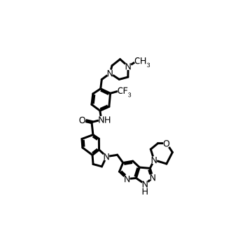 CN1CCN(Cc2ccc(NC(=O)c3ccc4c(c3)N(Cc3cnc5[nH]nc(N6CCOCC6)c5c3)CC4)cc2C(F)(F)F)CC1